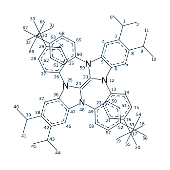 CC(C)c1cc2c(cc1C(C)C)N(c1ccc(C(C)(C)C)cc1)C(=C1N(c3ccc(C(C)(C)C)cc3)c3cc(C(C)C)c(C(C)C)cc3N1c1ccc(C(C)(C)C)cc1)N2c1ccc(C(C)(C)C)cc1